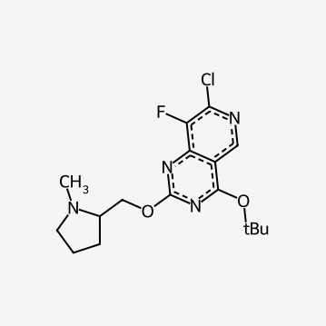 CN1CCCC1COc1nc(OC(C)(C)C)c2cnc(Cl)c(F)c2n1